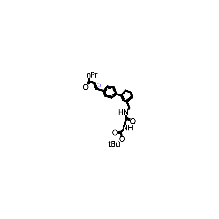 CCCC(=O)/C=C/c1ccc(C2=CC(CNC(=O)CNC(=O)OC(C)(C)C)=CCC2)cc1